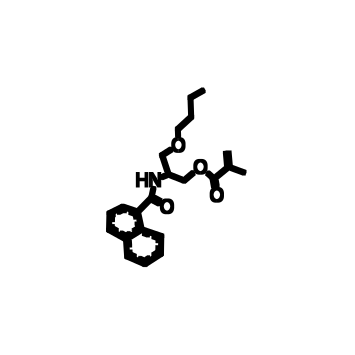 C=C(C)C(=O)OCC(COCCCC)NC(=O)c1cccc2ccccc12